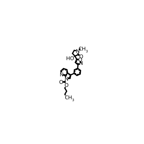 CCCCOC(=O)n1cc(-c2cccc(-c3cc([C@]4(O)CCN(C)C4=O)on3)c2)c2cccnc21